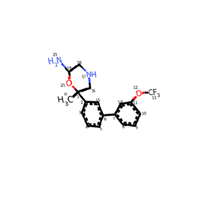 CC1(c2cccc(-c3cccc(OC(F)(F)F)c3)c2)CNCC(N)O1